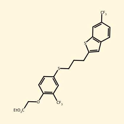 CCOC(=O)COc1ccc(SCCCc2cc3ccc(C(F)(F)F)cc3s2)cc1C(F)(F)F